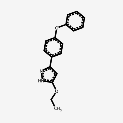 CCOc1cc(-c2ccc(Oc3ccccc3)cc2)n[nH]1